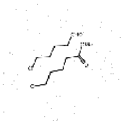 COC(=O)CCCCCl.O=CCCCCCl